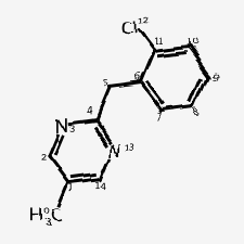 Cc1cnc(Cc2ccccc2Cl)nc1